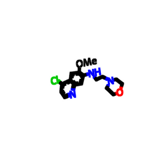 COc1cc2c(Cl)ccnc2cc1NCCN1CCOCC1